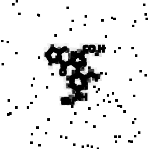 CC1CCCN1C(=O)c1nc(C(=O)O)sc1-c1ccc(NC(C)(C)C)nc1CF